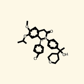 COc1cc2c(cc1OC(C)C)[C@H](c1ccc(Cl)cc1)N(c1ccc(C(C)(O)C3CCOCC3)cc1)C(=O)C2